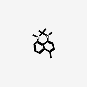 Cc1ccc2c3c(cccc13)N(C)C(C)(C)N2C